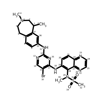 CC1CN(C)CCc2ccc(Nc3ncc(Br)c(Nc4ccc5nccnc5c4N(C)S(C)(=O)=O)n3)cc21